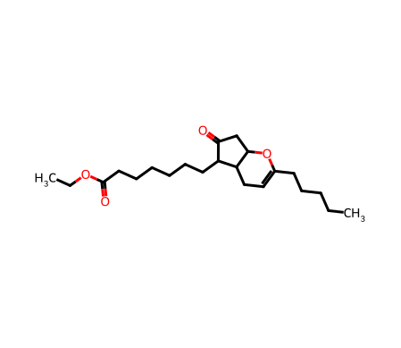 CCCCCC1=CCC2C(CC(=O)C2CCCCCCC(=O)OCC)O1